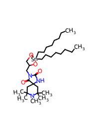 CCCCCCC[CH2][Sn]1([CH2]CCCCCCC)[O]CC(CN2C(=O)NC3(CC(C)(C)N(C)C(C)(C)C3)C2=O)[O]1